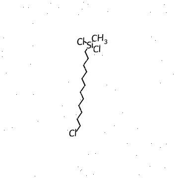 C[Si](Cl)(Cl)CCCCCCCCCCCCCl